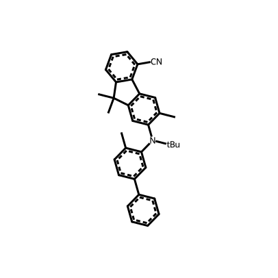 Cc1ccc(-c2ccccc2)cc1N(c1cc2c(cc1C)-c1c(C#N)cccc1C2(C)C)C(C)(C)C